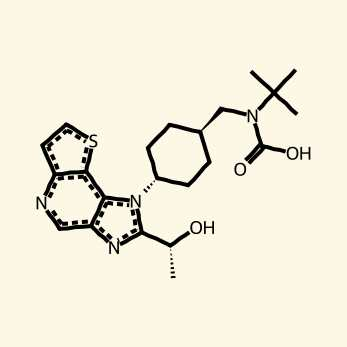 C[C@@H](O)c1nc2cnc3ccsc3c2n1[C@H]1CC[C@H](CN(C(=O)O)C(C)(C)C)CC1